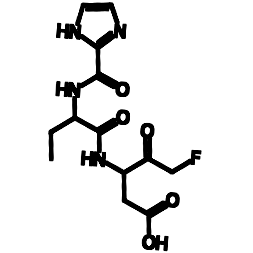 CCC(NC(=O)c1ncc[nH]1)C(=O)NC(CC(=O)O)C(=O)CF